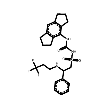 O=C(Nc1c2c(cc3c1CCC3)CCC2)NS(=O)(=O)CC(NCCC(F)(F)F)c1ccccc1